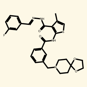 Cc1csc(NC(=O)c2cccc(CN3CCC4(CC3)OCCO4)c2)c1C(=O)NN=Cc1cccc(F)c1